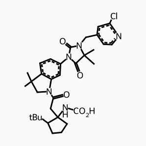 CC1(C)CN(C(=O)CC2(NC(=O)O)CCCC2C(C)(C)C)c2cc(N3C(=O)N(Cc4ccnc(Cl)c4)C(C)(C)C3=O)ccc21